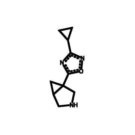 C1CC1c1noc(C23CNCC2C3)n1